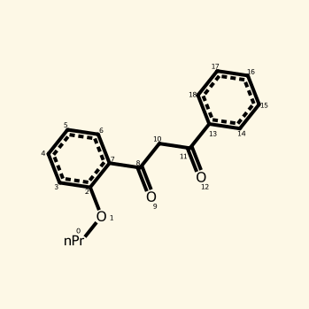 CCCOc1ccccc1C(=O)CC(=O)c1ccccc1